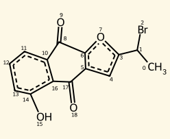 CC(Br)c1cc2c(o1)C(=O)c1cccc(O)c1C2=O